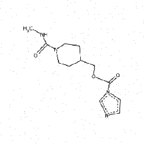 CNC(=O)N1CCC(COC(=O)n2ccnc2)CC1